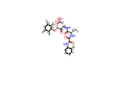 C[C@H](NC(=O)C(=O)Nc1ccccc1F)C(=O)N[C@@H](CC(O)O)C(=O)COc1c(F)c(F)cc(F)c1F